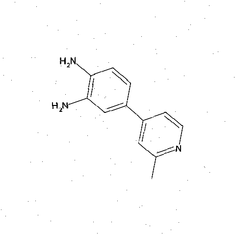 Cc1cc(-c2ccc(N)c(N)c2)ccn1